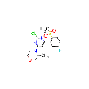 C[C@H]1COCCN1c1cc(-c2cc(F)ccc2S(C)(=O)=O)nc(Cl)n1